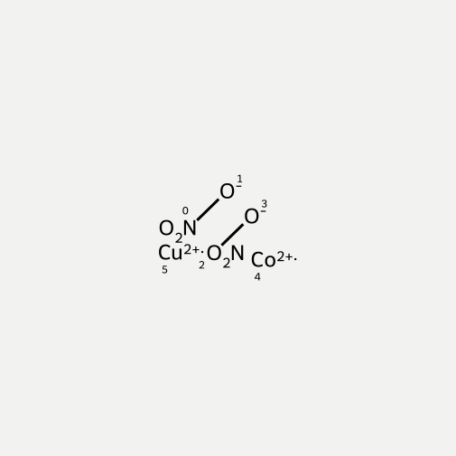 O=[N+]([O-])[O-].O=[N+]([O-])[O-].[Co+2].[Cu+2]